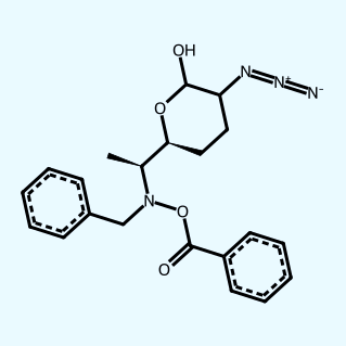 C[C@@H]([C@@H]1CCC(N=[N+]=[N-])C(O)O1)N(Cc1ccccc1)OC(=O)c1ccccc1